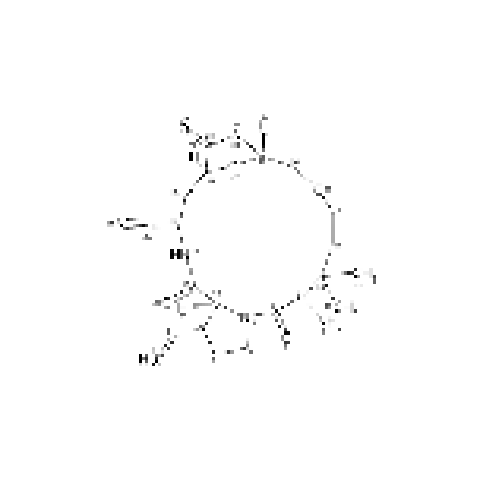 C=C[C@H]1CCN2C(=O)[C@@H](N)C(C)(C)CCCC[C@@H]3C[C@@H](C[C@@H](C#N)NC(=O)[C@H]12)C(=O)N3